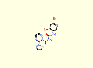 CC(NC(=O)Nc1cnc(Br)cc1Br)c1nccnc1-n1nccn1